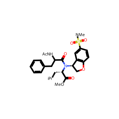 CNS(=O)(=O)c1ccc2c(c1)[C@H](N(C(=O)C(Cc1ccccc1)NC(C)=O)[C@@H](CC(C)C)C(=O)OC)CO2